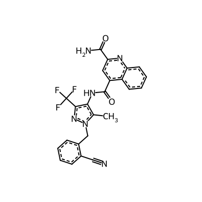 Cc1c(NC(=O)c2cc(C(N)=O)nc3ccccc23)c(C(F)(F)F)nn1Cc1ccccc1C#N